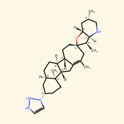 CC1=C2C[C@H]3[C@@H](CC[C@@H]4C[C@@H](N5C=CNN5)CC[C@@]43C)[C@@H]2CC[C@@]2(C1)O[C@@H]1C[C@H](C)CN[C@H]1[C@H]2C